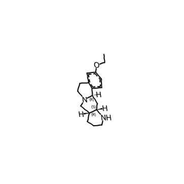 CCOc1ccc2c(c1)CCN1C[C@H]3CCCN[C@H]3C[C@H]21